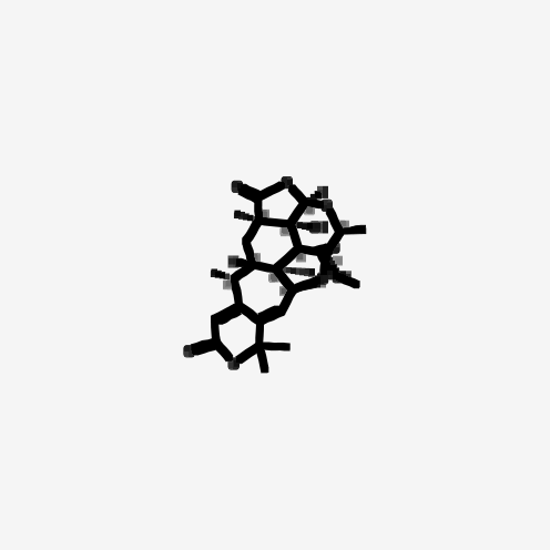 COC(=O)[C@@]12[C@@]3(C)[C@H]4C=C5C(=CC(=O)OC5(C)C)[C@H](C)[C@@H]3C[C@@]3(C)C(=O)O[C@@H](O[C@@H](C)[C@@]1(O)O4)[C@@]23O